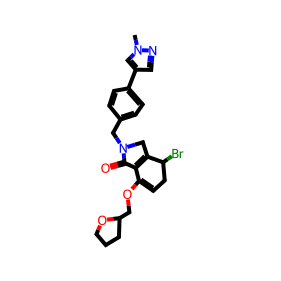 Cn1cc(-c2ccc(CN3CC4=C(C3=O)C(OCC3CCCO3)=CCC4Br)cc2)cn1